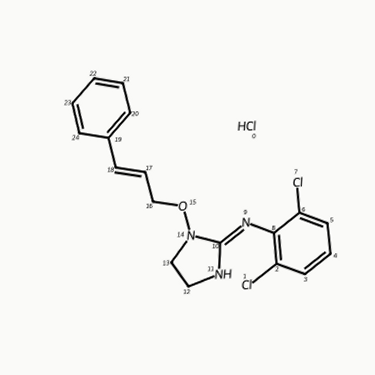 Cl.Clc1cccc(Cl)c1N=C1NCCN1OCC=Cc1ccccc1